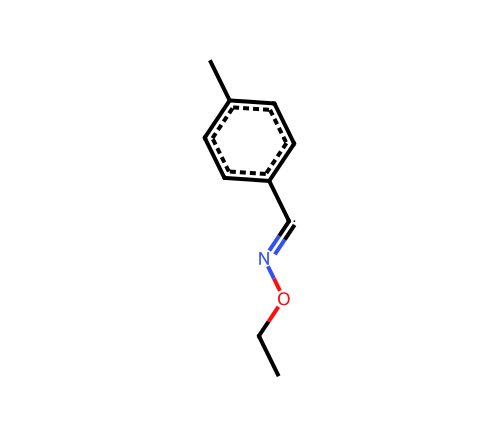 CCO/N=[C]/c1ccc(C)cc1